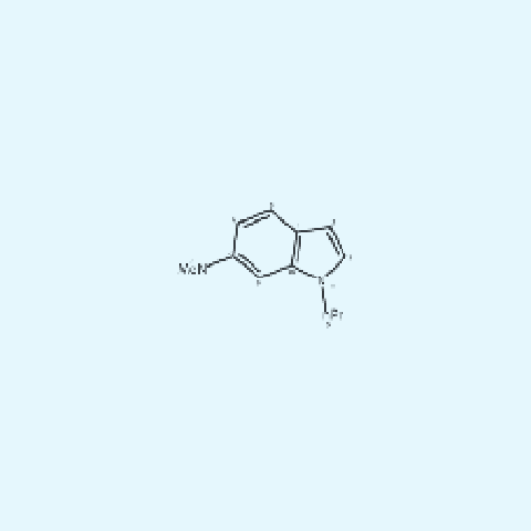 CCCn1ccc2ccc(NC)cc21